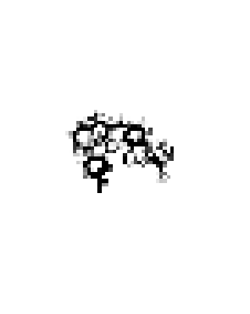 COc1cc(C=C2C[C@H]3CCC[C@@H](c4ccc(F)cc4)N3C2=O)ccc1-n1cnc(C)c1